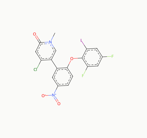 Cn1cc(-c2cc([N+](=O)[O-])ccc2Oc2c(F)cc(F)cc2I)c(Cl)cc1=O